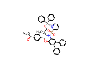 COC(=O)c1ccc(COc2cc(-c3ccccc3)c(-c3ccccc3)cc2N(C[C@@H](C)CO[Si](c2ccccc2)(c2ccccc2)C(C)(C)C)S(=O)(=O)c2ccccn2)cc1